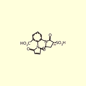 O=C(O)c1cccc(N2C(=O)C[C@H](S(=O)(=O)O)C2=O)c1N1C(=O)C=CC1=O